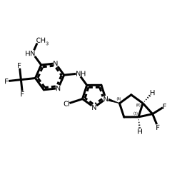 CNc1nc(Nc2cn([C@H]3C[C@@H]4[C@H](C3)C4(F)F)nc2Cl)ncc1C(F)(F)F